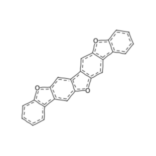 c1ccc2c(c1)oc1cc3c(cc12)oc1cc2c(cc13)oc1ccccc12